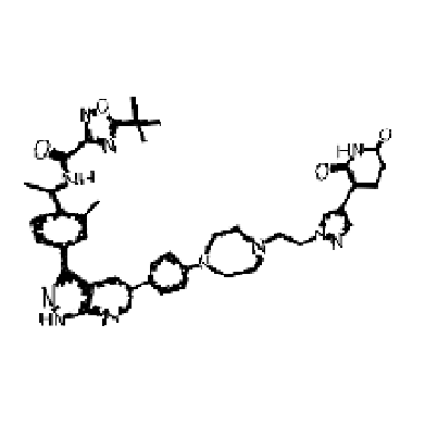 Cc1cc(-c2n[nH]c3ncc(-c4ccc(N5CCN(CCn6cc(C7CCC(=O)NC7=O)cn6)CC5)cc4)cc23)ccc1C(C)NC(=O)c1noc(C(C)(C)C)n1